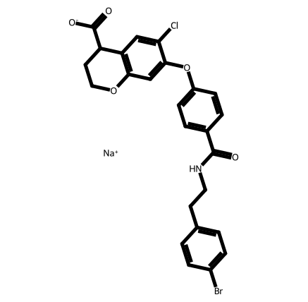 O=C(NCCc1ccc(Br)cc1)c1ccc(Oc2cc3c(cc2Cl)C(C(=O)[O-])CCO3)cc1.[Na+]